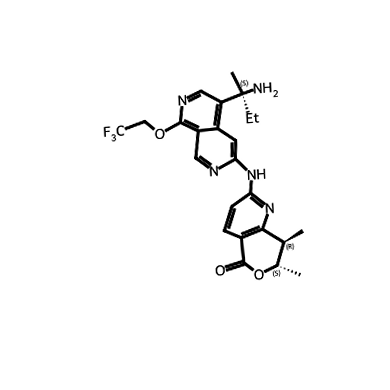 CC[C@](C)(N)c1cnc(OCC(F)(F)F)c2cnc(Nc3ccc4c(n3)[C@@H](C)[C@H](C)OC4=O)cc12